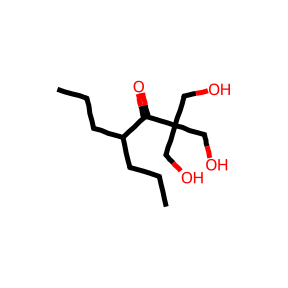 CCCC(CCC)C(=O)C(CO)(CO)CO